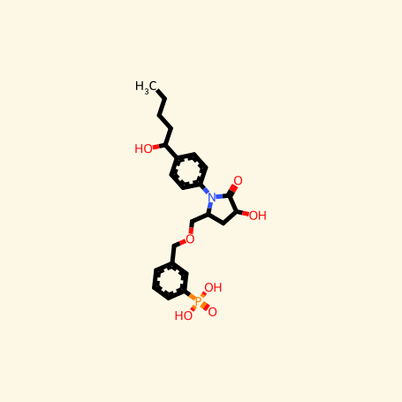 CCCCC(O)c1ccc(N2C(=O)C(O)CC2COCc2cccc(P(=O)(O)O)c2)cc1